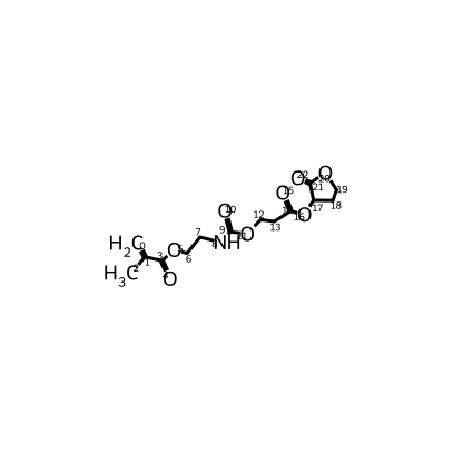 C=C(C)C(=O)OCCNC(=O)OCCC(=O)OC1CCOC1=O